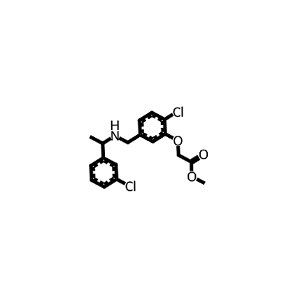 COC(=O)COc1cc(CNC(C)c2cccc(Cl)c2)ccc1Cl